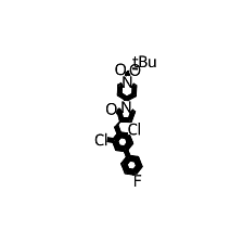 CC(C)(C)OC(=O)N1CCC(N2CC[C@@H](Cc3c(Cl)cc(-c4ccc(F)cc4)cc3Cl)C2=O)CC1